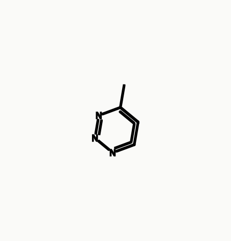 CC1=C=C=NN=N1